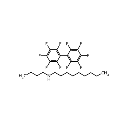 CCCCCCCCCNCCCC.Fc1c(F)c(F)c(-c2c(F)c(F)c(F)c(F)c2F)c(F)c1F